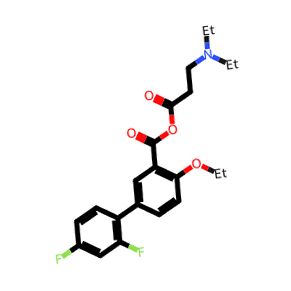 CCOc1ccc(-c2ccc(F)cc2F)cc1C(=O)OC(=O)CCN(CC)CC